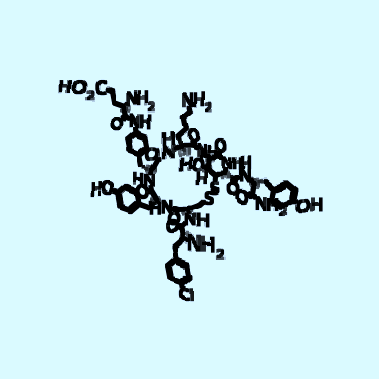 NCCCC[C@@H]1NC(=O)[C@@H](Cc2ccc(NC(=O)[C@@H](N)CCC(=O)O)cc2)NC(=O)[C@H](Cc2ccc(O)cc2)NC(=O)[C@H](NC(=O)[C@@H](N)Cc2ccc(Cl)cc2)CSSC2[C@@H](C(=O)N[C@H](Cc3ccc(O)cc3)C(N)=O)NC(=O)[C@@H](NC1=O)[C@@H]2O